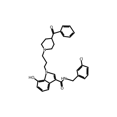 O=C(NCc1cccc(Cl)c1)c1cn(CCCN2CCC(C(=O)c3ccccc3)CC2)c2c(O)cccc12